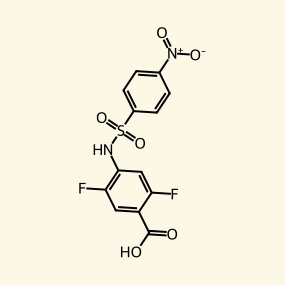 O=C(O)c1cc(F)c(NS(=O)(=O)c2ccc([N+](=O)[O-])cc2)cc1F